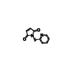 O=C1C=CC(=O)N1Sc1ccccn1